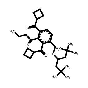 CCCC(=O)c1c(C(=O)C2CCC2)ccc(COC(CC(C)(C)C)CC(C)(C)C)c1C(=O)C1CCC1